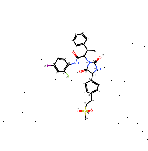 CC(c1ccccc1)C(C(=O)Nc1ccc(I)cc1F)N1C(=O)NC(c2ccc(CCS(C)(=O)=O)cc2)C1=O